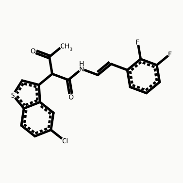 CC(=O)C(C(=O)N/C=C/c1cccc(F)c1F)c1csc2ccc(Cl)cc12